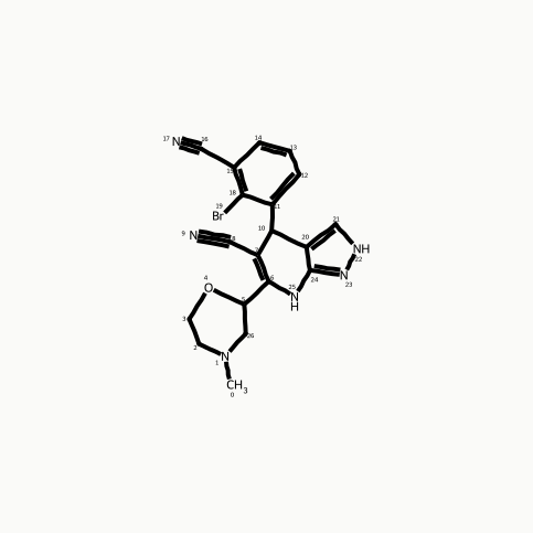 CN1CCOC(C2=C(C#N)C(c3cccc(C#N)c3Br)c3c[nH]nc3N2)C1